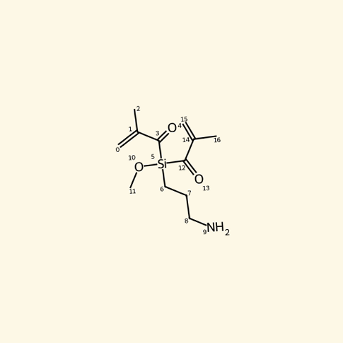 C=C(C)C(=O)[Si](CCCN)(OC)C(=O)C(=C)C